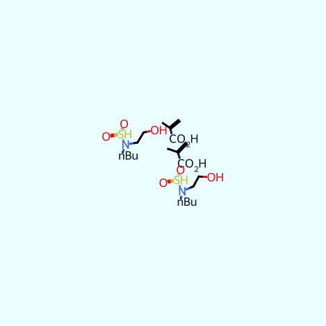 C=C(C)C(=O)O.C=C(C)C(=O)O.CCCCN(CCO)[SH](=O)=O.CCCCN(CCO)[SH](=O)=O